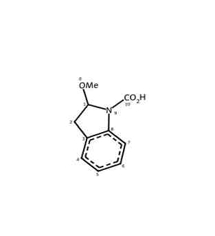 COC1Cc2ccccc2N1C(=O)O